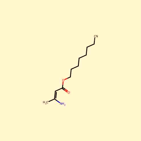 CC(N)=CC(=O)OCCCCCCCC#N